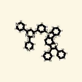 c1ccc(-c2oc3c(ccc4c3c3ccccc3n4-c3cccc(-c4cc(-c5ccncc5)nc(-c5ccncc5)n4)c3)c2-c2ccccc2)cc1